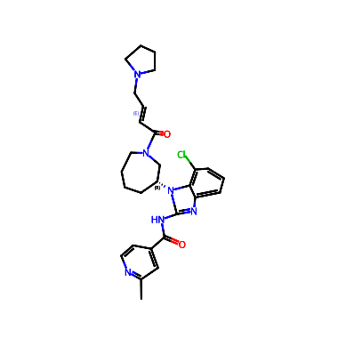 Cc1cc(C(=O)Nc2nc3cccc(Cl)c3n2[C@@H]2CCCCN(C(=O)/C=C/CN3CCCC3)C2)ccn1